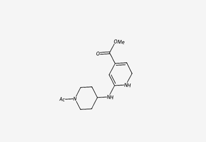 COC(=O)C1=CCNC(NC2CCN(C(C)=O)CC2)=C1